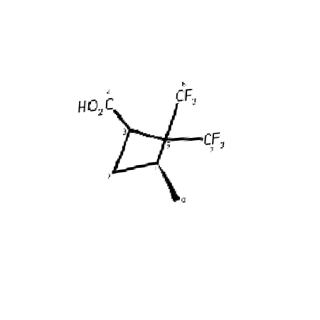 C[C@H]1CC(C(=O)O)C1(C(F)(F)F)C(F)(F)F